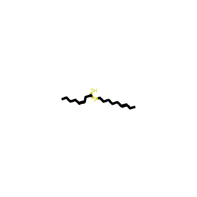 CCC=CCCCCCSC(S)C/C=C\CCCC